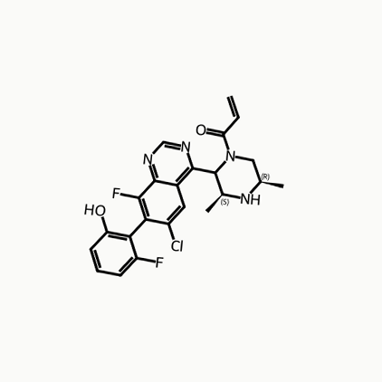 C=CC(=O)N1C[C@@H](C)N[C@@H](C)C1c1ncnc2c(F)c(-c3c(O)cccc3F)c(Cl)cc12